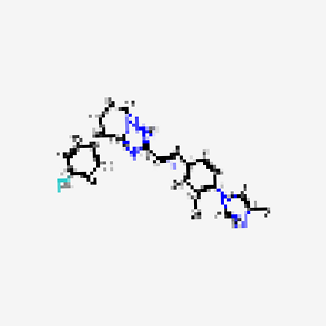 Cc1cn(-c2ccc(/C=C/c3nc4n(n3)CCC[C@H]4c3ccc(F)cc3)cc2C)cn1